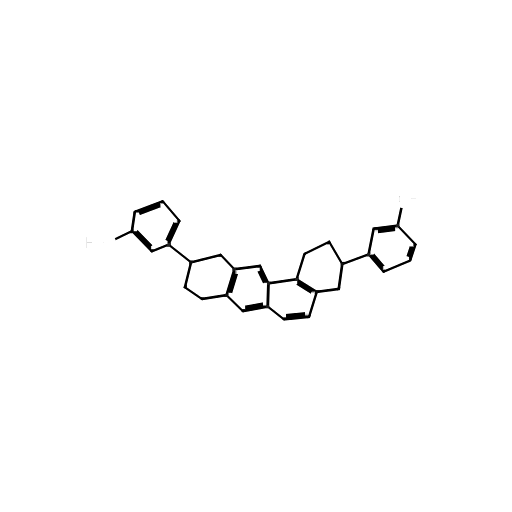 FC(F)(F)c1cccc(C2CCc3cc4ccc5c(c4cc3C2)CCC(c2cccc(C(F)(F)F)c2)C5)c1